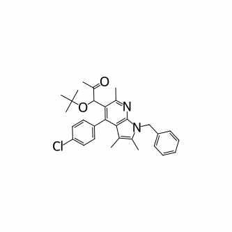 CC(=O)C(OC(C)(C)C)c1c(C)nc2c(c(C)c(C)n2Cc2ccccc2)c1-c1ccc(Cl)cc1